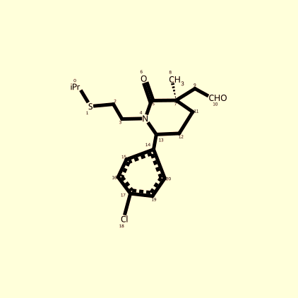 CC(C)SCCN1C(=O)[C@@](C)(CC=O)CCC1c1ccc(Cl)cc1